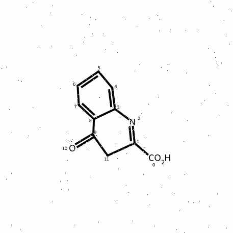 O=C(O)C1=Nc2ccccc2C(=O)C1